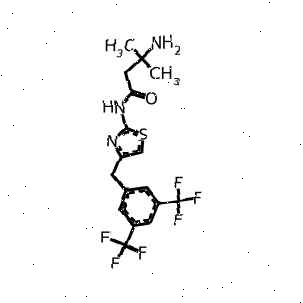 CC(C)(N)CC(=O)Nc1nc(Cc2cc(C(F)(F)F)cc(C(F)(F)F)c2)cs1